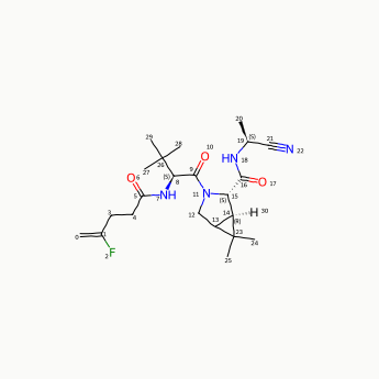 C=C(F)CCC(=O)N[C@H](C(=O)N1CC2[C@@H]([C@H]1C(=O)N[C@@H](C)C#N)C2(C)C)C(C)(C)C